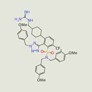 COc1ccc(CN(Cc2ccc(OC)cc2)S(=O)(=O)c2c(C(F)(F)F)ccc(C3CCC(CNC(=N)N)CC3)c2-c2nnn(Cc3ccc(OC)cc3)n2)cc1